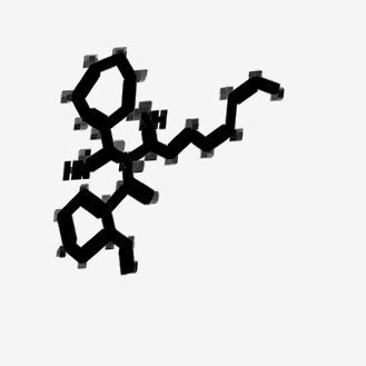 C=Cc1ccccc1C(=C)N(C(=N)/C=C/C=C\C=C/C)C(=N)C1=CC=CCC=C1